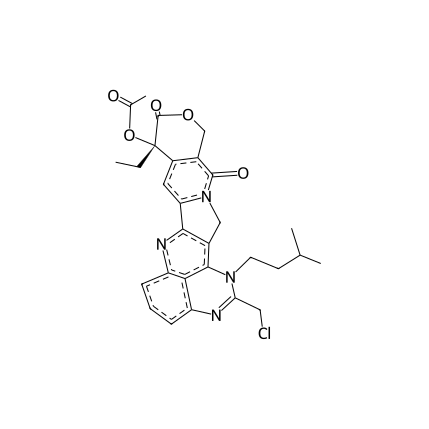 CC[C@@]1(OC(C)=O)C(=O)OCc2c1cc1n(c2=O)Cc2c-1nc1cccc3c1c2N(CCC(C)C)C(CCl)=N3